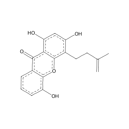 C=C(C)CCc1c(O)cc(O)c2c(=O)c3cccc(O)c3oc12